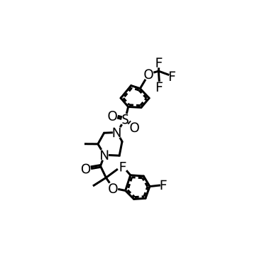 CC1CN(S(=O)(=O)c2ccc(OC(F)(F)F)cc2)CCN1C(=O)C(C)(C)Oc1ccc(F)cc1F